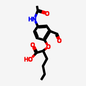 CCCCC(Oc1ccc(NC(C)=O)cc1C=O)C(=O)O